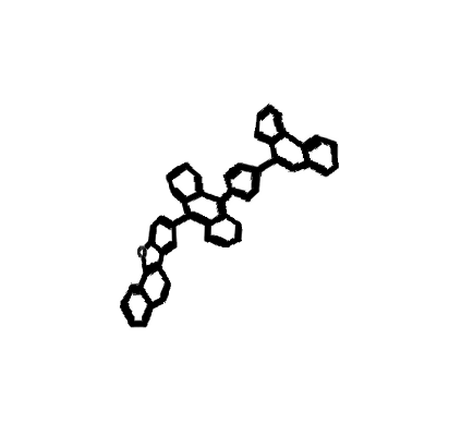 c1ccc2c(c1)cc(-c1ccc(-c3c4ccccc4c(-c4ccc5oc6c7ccccc7ccc6c5c4)c4ccccc34)cc1)c1ccccc12